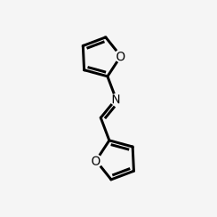 C(=Nc1ccco1)c1ccco1